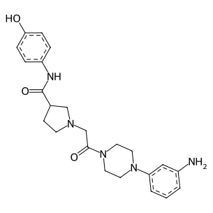 Nc1cccc(N2CCN(C(=O)CN3CCC(C(=O)Nc4ccc(O)cc4)C3)CC2)c1